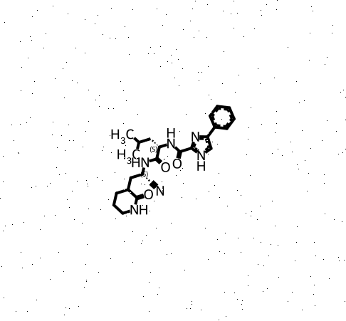 CC(C)C[C@H](NC(=O)c1nc(-c2ccccc2)c[nH]1)C(=O)N[C@H](C#N)CC1CCCNC1=O